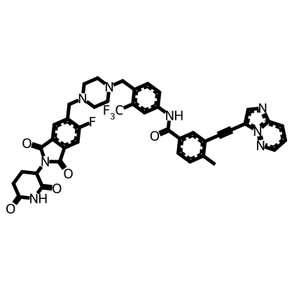 Cc1ccc(C(=O)Nc2ccc(CN3CCN(Cc4cc5c(cc4F)C(=O)N(C4CCC(=O)NC4=O)C5=O)CC3)c(C(F)(F)F)c2)cc1C#Cc1cnc2cccnn12